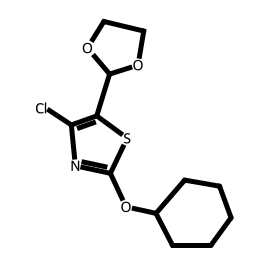 Clc1nc(OC2CCCCC2)sc1C1OCCO1